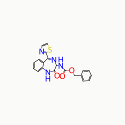 O=C(NC1N=C(c2nccs2)c2ccccc2NC1=O)OCc1ccccc1